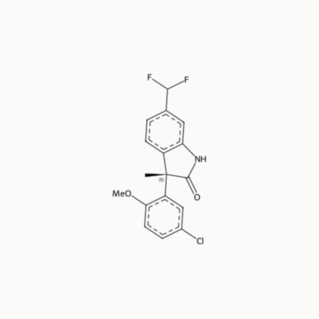 COc1ccc(Cl)cc1[C@@]1(C)C(=O)Nc2cc(C(F)F)ccc21